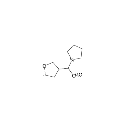 O=CC(C1C[CH]OC1)N1CCCC1